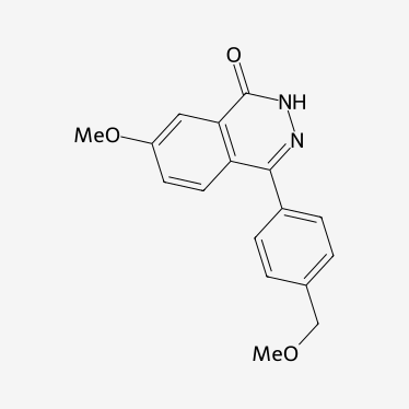 COCc1ccc(-c2n[nH]c(=O)c3cc(OC)ccc23)cc1